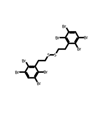 Brc1cc(Br)c(Br)c(CCSSCCc2c(Br)c(Br)cc(Br)c2Br)c1Br